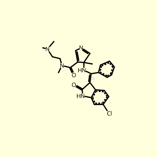 CN(C)CCN(C)C(=O)C1=CN=CC1(C)N/C(=C1\C(=O)Nc2cc(Cl)ccc21)c1ccccc1